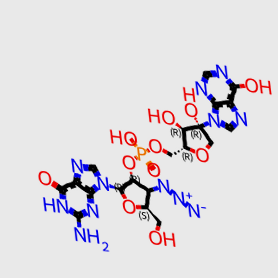 [N-]=[N+]=NC1[C@@H](OP(=O)(O)OC[C@H]2OC[C@](O)(n3cnc4c(O)ncnc43)[C@@H]2O)[C@H](n2cnc3c(=O)[nH]c(N)nc32)O[C@@H]1CO